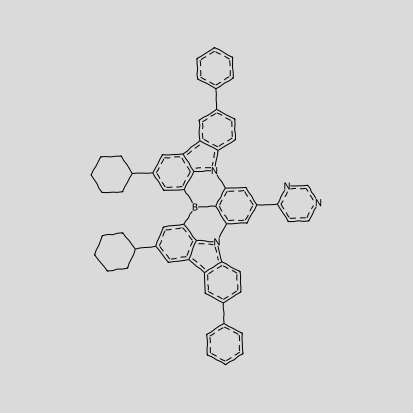 c1ccc(-c2ccc3c(c2)c2cc(C4CCCCC4)cc4c2n3-c2cc(-c3ccncn3)cc3c2B4c2cc(C4CCCCC4)cc4c5cc(-c6ccccc6)ccc5n-3c24)cc1